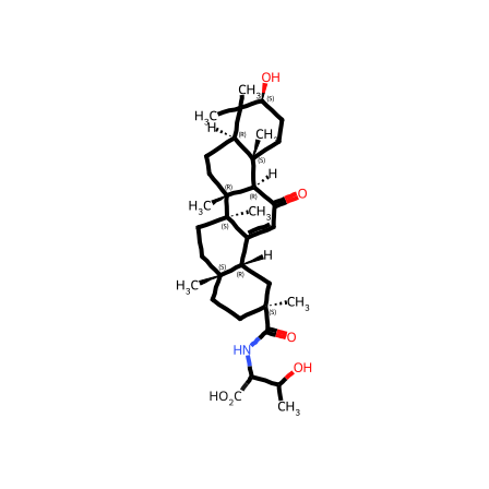 CC(O)C(NC(=O)[C@@]1(C)CC[C@]2(C)CC[C@]3(C)C(=CC(=O)[C@@H]4[C@@]5(C)CC[C@H](O)C(C)(C)[C@@H]5CC[C@]43C)[C@@H]2C1)C(=O)O